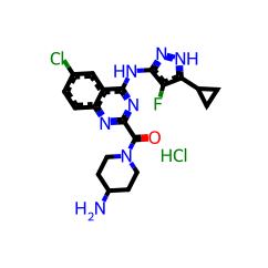 Cl.NC1CCN(C(=O)c2nc(Nc3n[nH]c(C4CC4)c3F)c3cc(Cl)ccc3n2)CC1